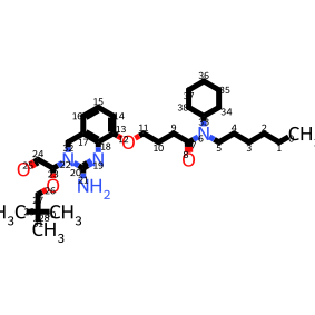 CCCCCCN(C(=O)CCCOc1cccc2c1N=C(N)N(C(C=O)OCC(C)(C)C)C2)C1CCCCC1